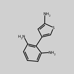 Nc1cc(-c2c(N)cccc2N)cs1